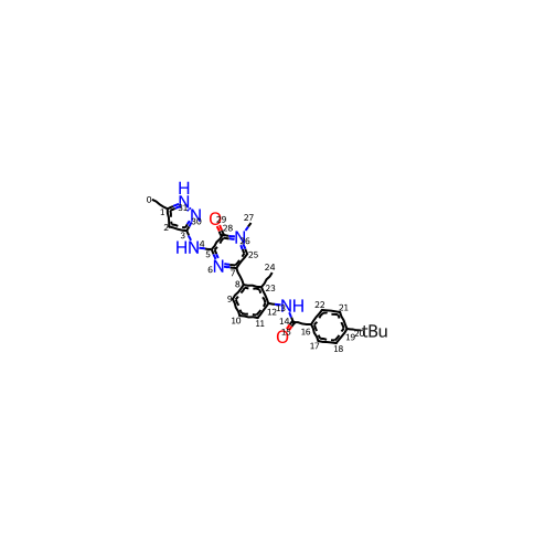 Cc1cc(Nc2nc(-c3cccc(NC(=O)c4ccc(C(C)(C)C)cc4)c3C)cn(C)c2=O)n[nH]1